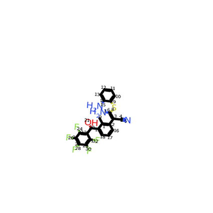 Cc1c(/C(C#N)=C(\N)Sc2ccccc2N)cccc1C(O)c1c(F)c(F)c(F)c(F)c1F